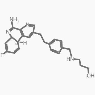 NC1=NC2C=C(F)C=C[C@H]2c2cc(CCc3ccc(CNCCCO)cc3)cnc21